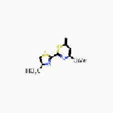 C=C1C=C(OC)N=C(C2=N[C@@H](C(=O)O)CS2)S1